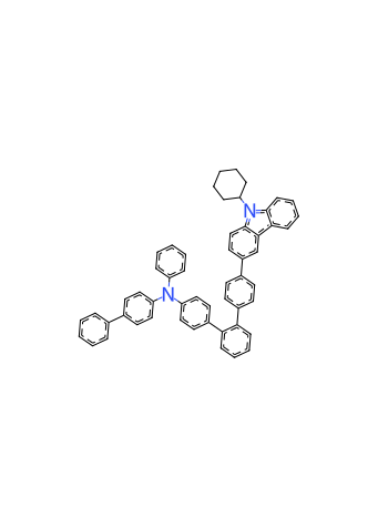 c1ccc(-c2ccc(N(c3ccccc3)c3ccc(-c4ccccc4-c4ccc(-c5ccc6c(c5)c5ccccc5n6C5CCCCC5)cc4)cc3)cc2)cc1